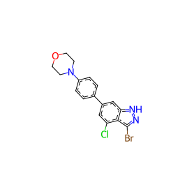 Clc1cc(-c2ccc(N3CCOCC3)cc2)cc2[nH]nc(Br)c12